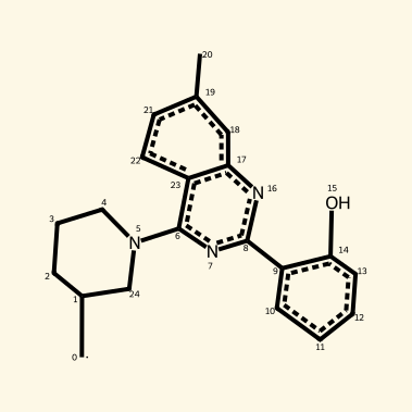 [CH2]C1CCCN(c2nc(-c3ccccc3O)nc3cc(C)ccc23)C1